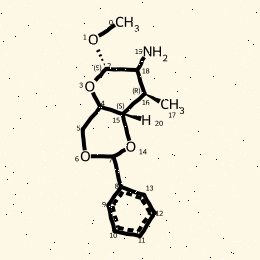 CO[C@H]1OC2COC(c3ccccc3)O[C@H]2[C@H](C)C1N